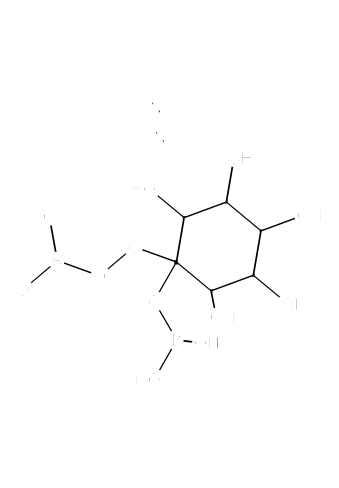 [Na+].[Na+].[O-]B([O-])OOC1(OB(O)O)C(O)C(O)C(O)C(O)C1O